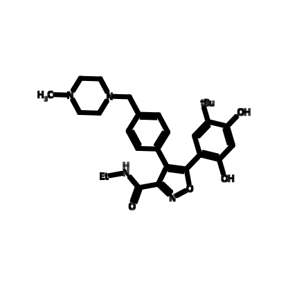 CCNC(=O)c1noc(-c2cc(C(C)(C)C)c(O)cc2O)c1-c1ccc(CN2CCN(C)CC2)cc1